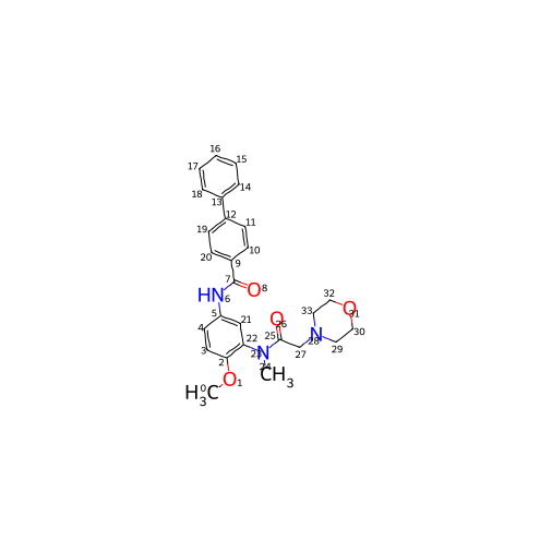 COc1ccc(NC(=O)c2ccc(-c3ccccc3)cc2)cc1N(C)C(=O)CN1CCOCC1